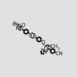 CC[C@@H](C)n1ncn(-c2ccc(N3CCN(c4ccc(OC[C@H]5CO[C@](Cn6cccn6)(c6ccc(C#N)cc6C)O5)cc4)CC3)cc2)c1=O